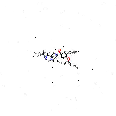 C=C(C)Oc1ccc(C(=O)N2CCC3(CC2)c2ccc(C(F)(F)F)n2CCN3C)cc1OC